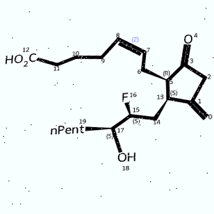 C=C1CC(=O)[C@H](C/C=C\CCCC(=O)O)[C@@H]1C[C@H](F)[C@@H](O)CCCCC